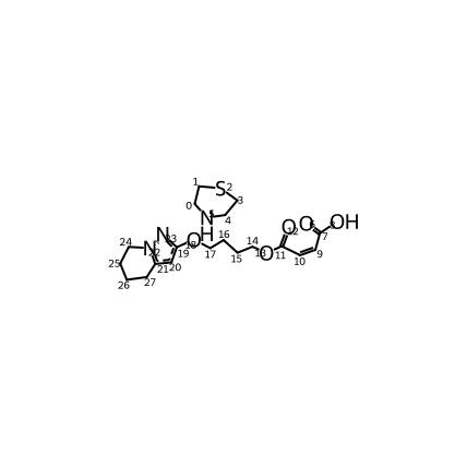 C1CSCCN1.O=C(O)/C=C\C(=O)OCCCCOc1cc2n(n1)CCCC2